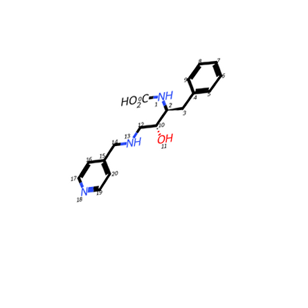 O=C(O)N[C@@H](Cc1ccccc1)[C@H](O)CNCc1ccncc1